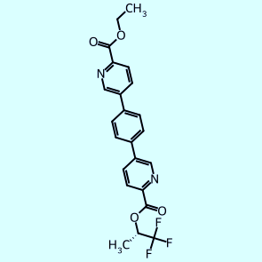 CCOC(=O)c1ccc(-c2ccc(-c3ccc(C(=O)O[C@@H](C)C(F)(F)F)nc3)cc2)cn1